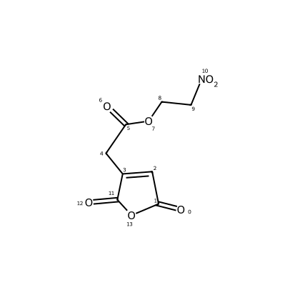 O=C1C=C(CC(=O)OCC[N+](=O)[O-])C(=O)O1